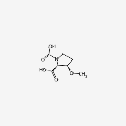 CO[C@@H]1CCN(C(=O)O)[C@@H]1C(=O)O